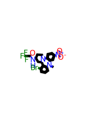 CN1c2cc([N+](=O)[O-])ccc2N2CCC(NC(=O)C(F)(F)F)CC2c2c(Br)cccc21